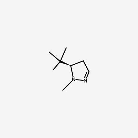 CN1N=CC[C@@H]1C(C)(C)C